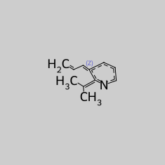 C=C/C=c1/cccnc1=C(C)C